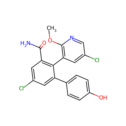 COc1ncc(Cl)cc1-c1c(C(N)=O)cc(Cl)cc1-c1ccc(O)cc1